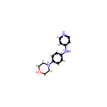 c1cc(Nc2ccc(N3CCOCC3)cc2)ccn1